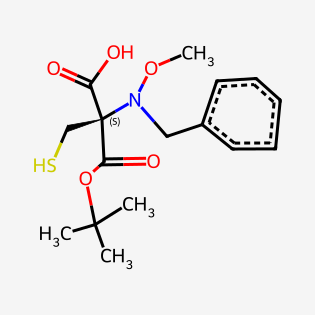 CON(Cc1ccccc1)[C@@](CS)(C(=O)O)C(=O)OC(C)(C)C